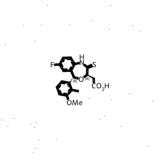 COc1cccc([C@H]2O[C@H](CC(=O)O)C(=S)Nc3ccc(F)cc32)c1C